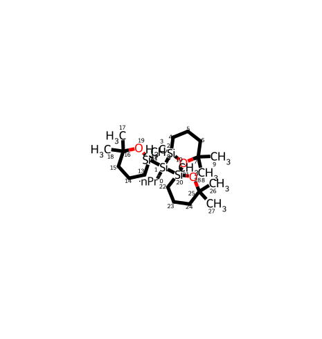 CC[CH][Si]([Si]1(C)CCCC(C)(C)O1)([Si]1(C)CCCC(C)(C)O1)[Si]1(C)CCCC(C)(C)O1